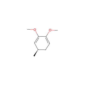 COC1=CC[C@@H](C)C=C1OC